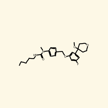 CCCCCNC(=O)N(C)c1ccc(COc2cc(F)cc(C3(OC)CCOCC3)c2)cc1